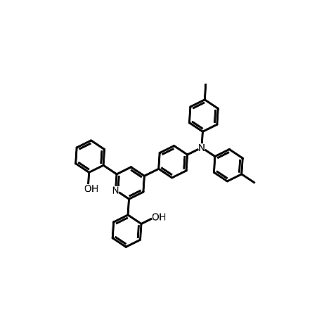 Cc1ccc(N(c2ccc(C)cc2)c2ccc(-c3cc(-c4ccccc4O)nc(-c4ccccc4O)c3)cc2)cc1